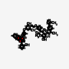 Cc1ncsc1-c1ccc([C@H](C)NC(=O)[C@@H]2C[C@@H](O)CN2C(=O)[C@@H](c2cc(OCCN3[C@H](C)CC(O[C@H]4C[C@H](Oc5cc(N6C7CCC6CN(c6cc(-c8ccccc8O)nnc6N)C7)ccn5)C4)C[C@@H]3C)no2)C(C)C)cn1